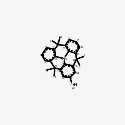 CC1(C)c2cccc3c2N2c4c1cccc4C(C)(C)c1cc(O)cc(c12)C3(C)C